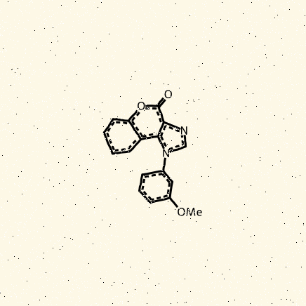 COc1cccc(-n2cnc3c(=O)oc4ccccc4c32)c1